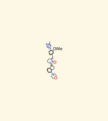 COc1cc(/C=C2\CCCN([C@H]3CCc4c3cccc4N3CCOCC3)C2=O)ccc1-n1cnc(C)c1